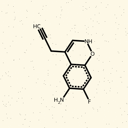 C#CCC1=CNOc2cc(F)c(N)cc21